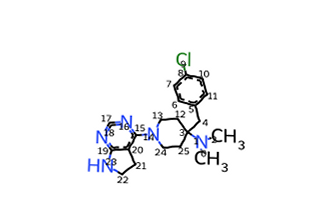 CN(C)C1(Cc2ccc(Cl)cc2)CCN(c2ncnc3c2CCN3)CC1